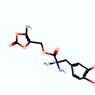 Cc1oc(=O)oc1COC(=O)[C@@](C)(N)Cc1ccc(O)c(O)c1